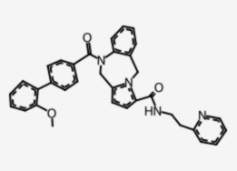 COc1ccccc1-c1ccc(C(=O)N2Cc3ccc(C(=O)NCCc4ccccn4)n3Cc3ccccc32)cc1